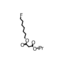 CC(C)OC(=O)CC(=O)OCCCCCCCF